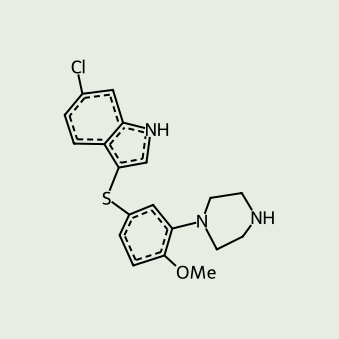 COc1ccc(Sc2c[nH]c3cc(Cl)ccc23)cc1N1CCNCC1